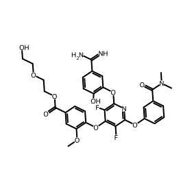 COc1cc(C(=O)OCCOCCO)ccc1Oc1c(F)c(Oc2cccc(C(=O)N(C)C)c2)nc(Oc2cc(C(=N)N)ccc2O)c1F